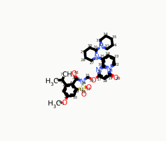 COc1cc(C(C)C)c2c(c1)S(=O)(=O)N(COc1cc(=O)n3cccc(N4CCCCC4N4CCCCC4)c3n1)C2=O